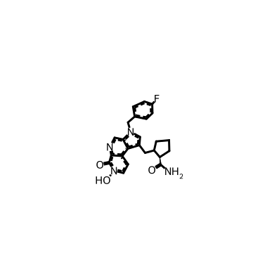 NC(=O)[C@@H]1CCCC1Cc1cn(Cc2ccc(F)cc2)c2cnc3c(=O)n(O)ccc3c12